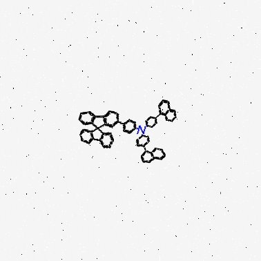 c1ccc2c(c1)-c1ccccc1C21c2ccccc2-c2ccc(-c3ccc(N(c4ccc(-c5cccc6ccccc56)cc4)c4ccc(-c5cccc6ccccc56)cc4)cc3)cc21